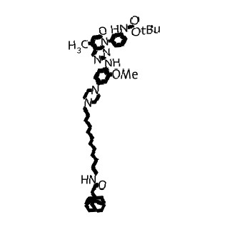 COc1cc(N2CCN(CCCCCCCCCCCCNC(=O)CC34CC5CC(CC(C5)C3)C4)CC2)ccc1Nc1ncc2c(C)cc(=O)n(-c3cccc(NC(=O)OC(C)(C)C)c3)c2n1